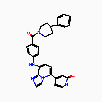 O=C(c1ccc(Nc2ccc(-c3cc[nH]c(=O)c3)n3ccnc23)cc1)N1CCC(c2ccccc2)CC1